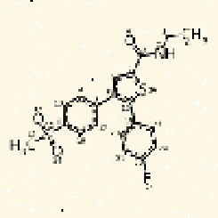 CCNC(=O)c1cc(-c2ccc(S(C)(=O)=O)cc2)c(-c2ccc(F)cc2)s1